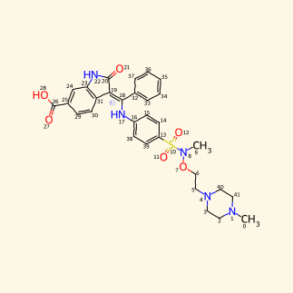 CN1CCN(CCON(C)S(=O)(=O)c2ccc(N/C(=C3/C(=O)Nc4cc(C(=O)O)ccc43)c3ccccc3)cc2)CC1